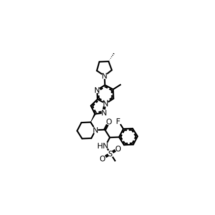 Cc1cn2nc([C@@H]3CCCCN3C(=O)C(NS(C)(=O)=O)c3ccccc3F)cc2nc1N1CC[C@H](C)C1